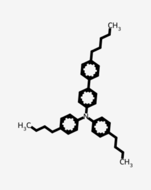 CCCCCc1ccc(-c2ccc(N(c3ccc(CCCC)cc3)c3ccc(CCCC)cc3)cc2)cc1